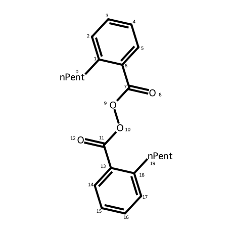 CCCCCc1ccccc1C(=O)OOC(=O)c1ccccc1CCCCC